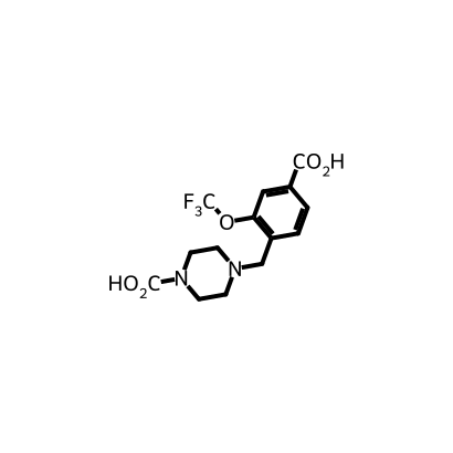 O=C(O)c1ccc(CN2CCN(C(=O)O)CC2)c(OC(F)(F)F)c1